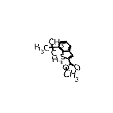 COC(=O)c1cc2cccc(C(C)(C)C)c2s1